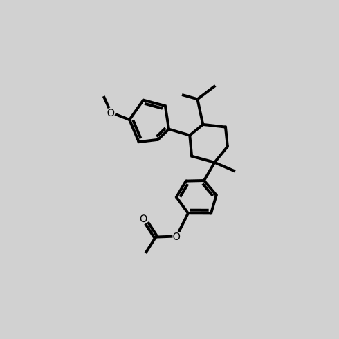 COc1ccc(C2CC(C)(c3ccc(OC(C)=O)cc3)CCC2C(C)C)cc1